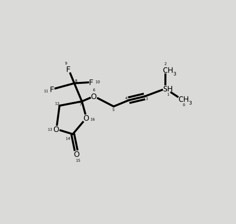 C[SH](C)C#CCOC1(C(F)(F)F)COC(=O)O1